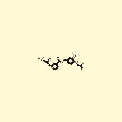 CCC(=O)Nc1cc(C(=O)NCc2ccc(OCC(F)F)c(OC)c2)ccn1